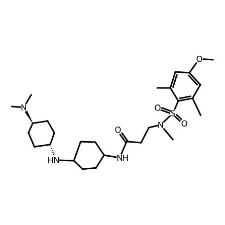 COc1cc(C)c(S(=O)(=O)N(C)CCC(=O)NC2CCC(N[C@H]3CC[C@H](N(C)C)CC3)CC2)c(C)c1